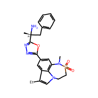 CCc1cn2c3c(cc(-c4nnc([C@](C)(N)Cc5ccccc5)o4)cc13)N(C)S(=O)(=O)CC2